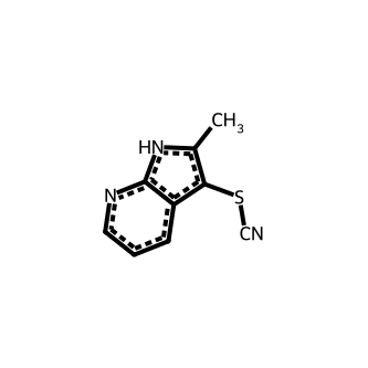 Cc1[nH]c2ncccc2c1SC#N